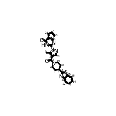 Cc1c(C(=O)N2CCC(c3nc4ccccc4s3)CC2)cnn1-c1nn2cccc2c(=O)[nH]1